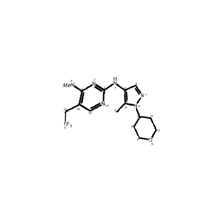 CNc1nc(Nc2cnn(C3CCOCC3)c2C)ncc1CC(F)(F)F